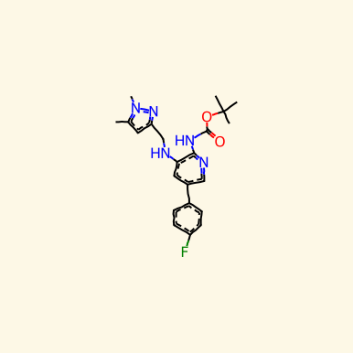 Cc1cc(CNc2cc(-c3ccc(F)cc3)cnc2NC(=O)OC(C)(C)C)nn1C